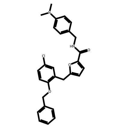 CN(C)c1ccc(CNC(=O)c2ccc(Cc3cc(Cl)ccc3OCc3ccccc3)o2)cc1